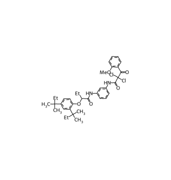 CCC(Oc1ccc(C(C)(C)CC)cc1C(C)(C)CC)C(=O)Nc1cccc(NC(=O)C(Cl)(Cl)C(=O)c2ccccc2OC)c1